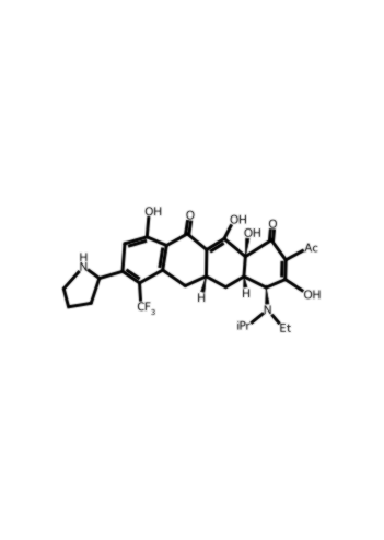 CCN(C(C)C)[C@@H]1C(O)=C(C(C)=O)C(=O)[C@@]2(O)C(O)=C3C(=O)c4c(O)cc(C5CCCN5)c(C(F)(F)F)c4C[C@H]3C[C@@H]12